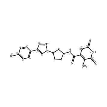 Nc1c(C(=O)NC2CCC(n3cc(-c4ccc(Br)cc4)cn3)C2)[nH]c(=O)[nH]c1=O